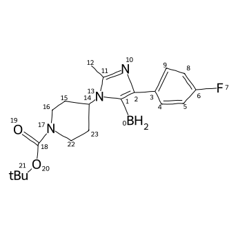 Bc1c(-c2ccc(F)cc2)nc(C)n1C1CCN(C(=O)OC(C)(C)C)CC1